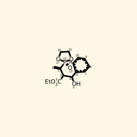 C=C(C(C(=O)OCC)C(O)c1ccccc1)P1(=O)OCCO1